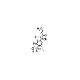 CCOC(=O)C(C)(C)c1ccc(C2(N)CCOC2)c(F)c1